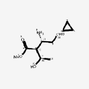 C1CC1.COC(=O)[C@@H]([C@H](N)CC=O)[C@@H](C)O